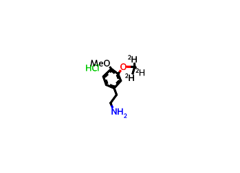 Cl.[2H]C([2H])([2H])Oc1cc(CCN)ccc1OC